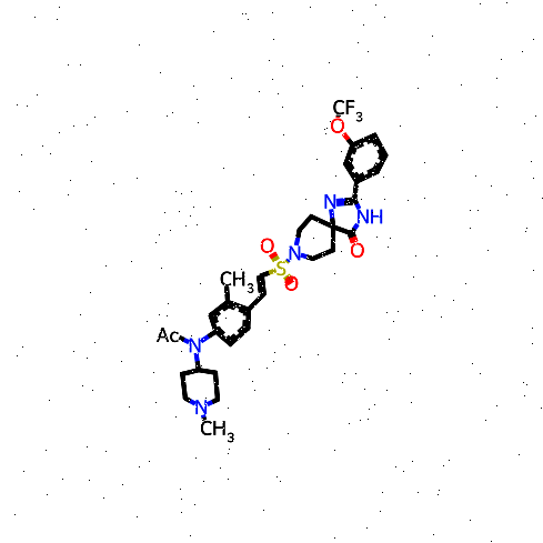 CC(=O)N(c1ccc(/C=C/S(=O)(=O)N2CCC3(CC2)N=C(c2cccc(OC(F)(F)F)c2)NC3=O)c(C)c1)C1CCN(C)CC1